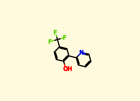 Oc1ccc(C(F)(F)F)cc1-c1ccccn1